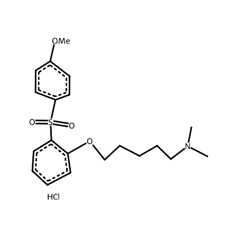 COc1ccc(S(=O)(=O)c2ccccc2OCCCCCN(C)C)cc1.Cl